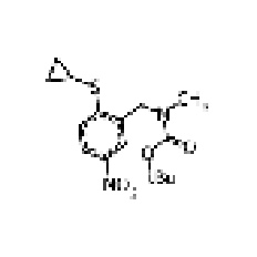 CN(Cc1cc([N+](=O)[O-])ccc1SC1CC1)C(=O)OC(C)(C)C